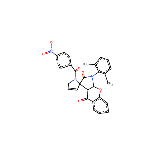 Cc1cccc(C)c1N1C(=O)C2(C=CCN2C(=O)c2ccc([N+](=O)[O-])cc2)C2C(=O)c3ccccc3OC21